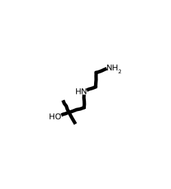 CC(C)(O)CNCCN